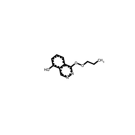 CCCOOc1nncc2c(O)cccc12